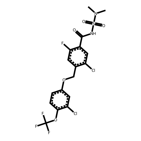 CN(C)S(=O)(=O)NC(=O)c1cc(Cl)c(COc2ccc(OC(F)(F)F)c(Cl)c2)cc1F